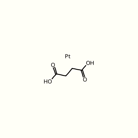 O=C(O)CCC(=O)O.[Pt]